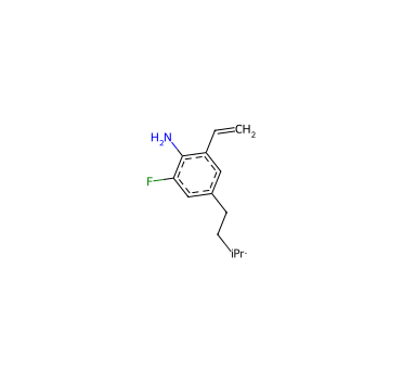 C=Cc1cc(CC[C](C)C)cc(F)c1N